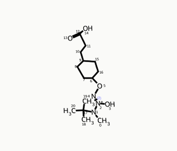 CN(/[N+](O)=N/OC1CCC(CCC(=O)O)CC1)C(C)(C)C